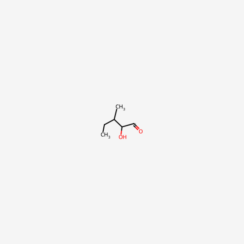 CCC(C)C(O)[C]=O